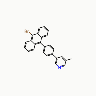 Cc1cncc(-c2ccc(-c3c4ccccc4c(Br)c4ccccc34)cc2)c1